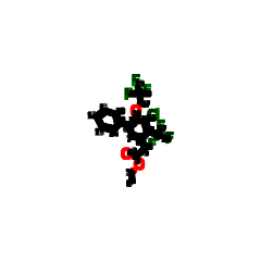 CCOC(=O)Cc1cc(-c2ccccc2)c(OCC(F)(F)F)c(Cl)c1C(F)(F)F